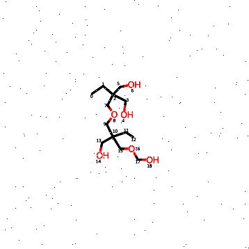 CCC(CO)(CO)COCC(CC)(CO)COCO